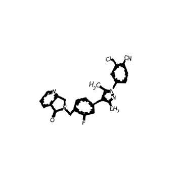 Cc1nn(-c2ccc(C#N)c(Cl)c2)c(C)c1-c1ccc(CN2Cc3ncccc3C2=O)c(F)c1